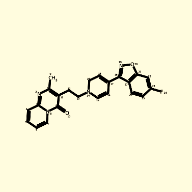 Cc1nc2ccccn2c(=O)c1CCN1C=CC(c2noc3cc(F)ccc23)=CC1